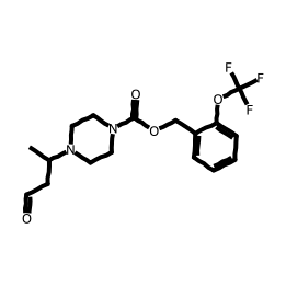 CC(CC=O)N1CCN(C(=O)OCc2ccccc2OC(F)(F)F)CC1